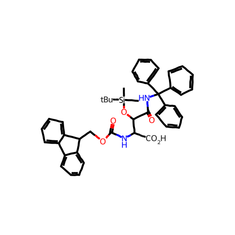 CC(C)(C)[Si](C)(C)OC(C(=O)NC(c1ccccc1)(c1ccccc1)c1ccccc1)C(NC(=O)OCC1c2ccccc2-c2ccccc21)C(=O)O